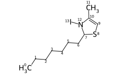 CCCCCCCC1SC=C(C)N1I